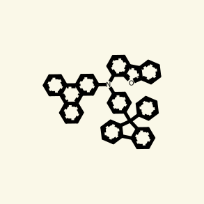 c1ccc(C2(c3ccc(N(c4ccc5c6ccccc6c6ccccc6c5c4)c4cccc5c4oc4ccccc45)cc3)c3ccccc3-c3ccccc32)cc1